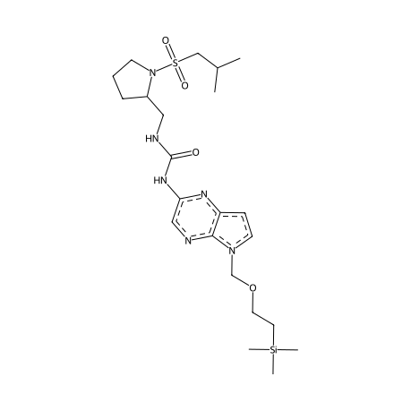 CC(C)CS(=O)(=O)N1CCCC1CNC(=O)Nc1cnc2c(ccn2COCC[Si](C)(C)C)n1